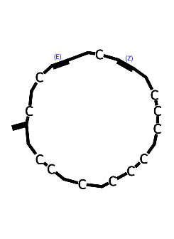 C=C1CCC/C=C/CC/C=C\CCCCCCCCCCCCCC1